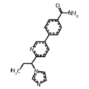 CCC(c1ccc(-c2ccc(C(N)=O)cc2)cn1)n1ccnc1